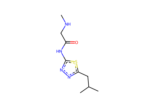 CNCC(=O)Nc1nnc(CC(C)C)s1